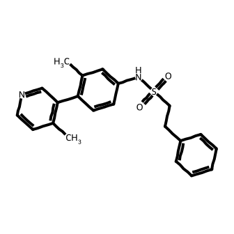 Cc1cc(NS(=O)(=O)CCc2ccccc2)ccc1-c1cnccc1C